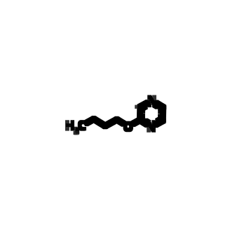 CCCCOc1[c]nccn1